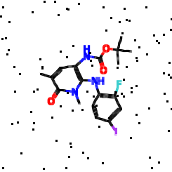 Cc1cc(NC(=O)OC(C)(C)C)c(Nc2ccc(I)cc2F)n(C)c1=O